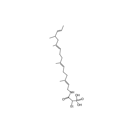 C/C=C/C(C)C/C(C)=C/CC/C(C)=C/CC/C(C)=C/CNC(=O)C(CC)P(=O)(O)O